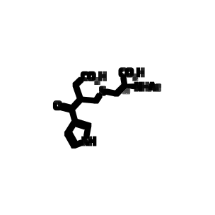 CC(=O)N[C@@H](CSCC(CC(=O)O)C(=O)c1cc[nH]c1)C(=O)O